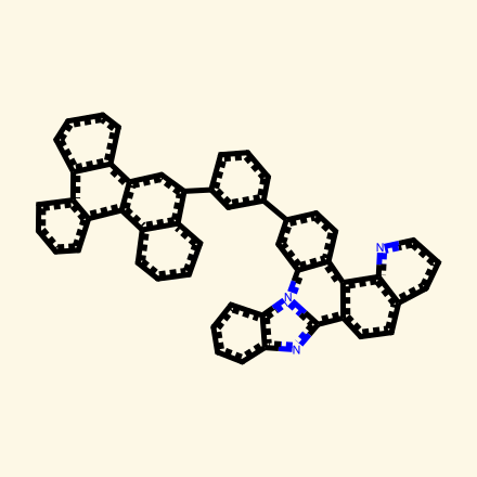 c1cc(-c2ccc3c4c(ccc5cccnc54)c4nc5ccccc5n4c3c2)cc(-c2cc3c4ccccc4c4ccccc4c3c3ccccc23)c1